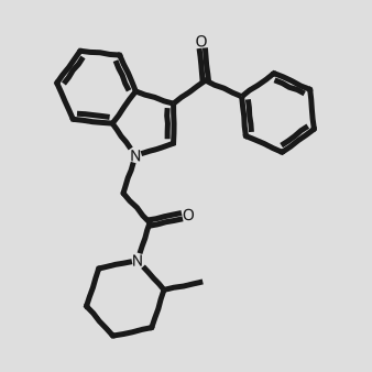 CC1CCCCN1C(=O)Cn1cc(C(=O)c2ccccc2)c2ccccc21